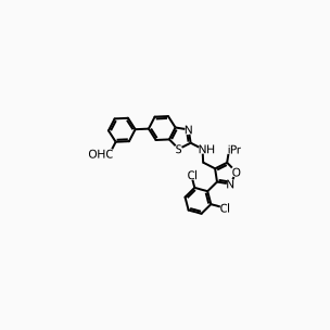 CC(C)c1onc(-c2c(Cl)cccc2Cl)c1CNc1nc2ccc(-c3cccc(C=O)c3)cc2s1